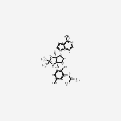 Cc1ncnc2c1ccn2[C@@H]1C[C@H](Oc2ccc(Cl)cc2OC(C)O)[C@H]2OC(C)(C)O[C@H]21